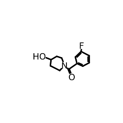 O=C(c1cccc(F)c1)N1CCC(O)CC1